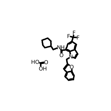 O=C(NCC1CCCCC1)c1cc(C(F)(F)F)cc2ccn(Cc3cc4ccccc4o3)c12.O=C(O)O